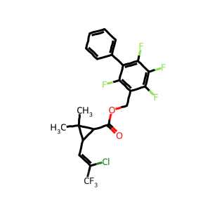 CC1(C)C(C=C(Cl)C(F)(F)F)C1C(=O)OCc1c(F)c(F)c(F)c(-c2ccccc2)c1F